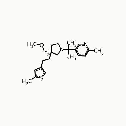 COC[C@]1(CCc2csc(C)c2)CCN(C(C)(C)c2ccc(C)nc2)C1